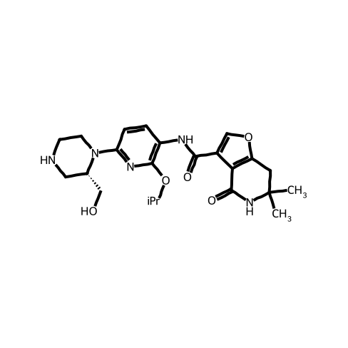 CC(C)Oc1nc(N2CCNC[C@H]2CO)ccc1NC(=O)c1coc2c1C(=O)NC(C)(C)C2